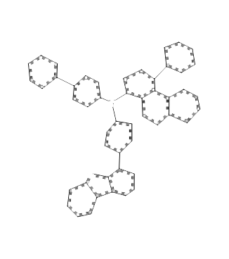 c1ccc(-c2ccc(N(c3ccc(-c4cccc5c4oc4ccccc45)cc3)c3ccc(-c4ccccc4)c4c3ccc3ccccc34)cc2)cc1